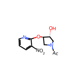 CC(=O)N1C[C@@H](O)[C@H](Oc2ncccc2[N+](=O)[O-])C1